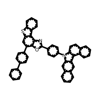 c1ccc(-c2ccc(-c3cc4sc5ccccc5c4c4nc(-c5ccc(-n6c7cc8ccccc8cc7c7c8ccccc8ccc76)cc5)oc34)cc2)cc1